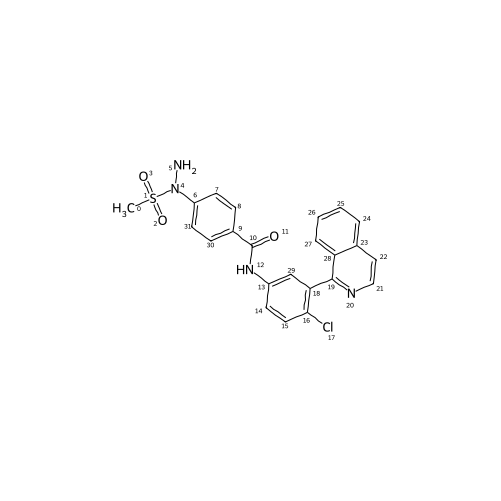 CS(=O)(=O)N(N)c1ccc(C(=O)Nc2ccc(Cl)c(-c3nccc4ccccc34)c2)cc1